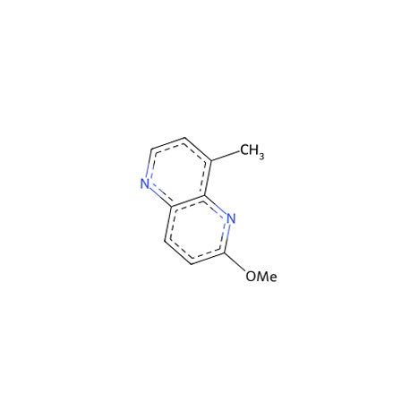 COc1ccc2nccc(C)c2n1